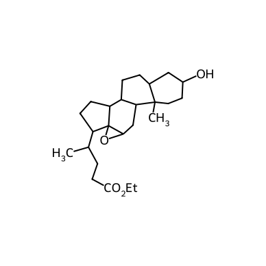 CCOC(=O)CCC(C)C1CCC2C3CCC4CC(O)CCC4(C)C3CC3OC312